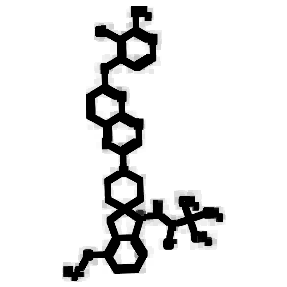 COc1cccc2c1CC1(CCN(c3cnc4nc(Sc5ccnc(N)c5Cl)ccc4n3)CC1)[C@@H]2N[S+]([O-])C(C)(C)C